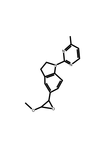 COC1OC1c1ccc2c(c1)CCN2c1nccc(C)n1